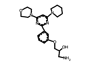 NCC(O)COc1cccc(-c2nc(N3CCCCC3)cc(N3CCOCC3)n2)c1